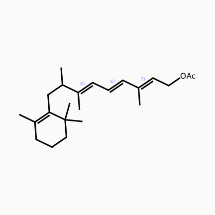 CC(=O)OC/C=C(C)/C=C/C=C(\C)C(C)CC1=C(C)CCCC1(C)C